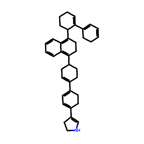 C1=CCCC(C2=CCCCC2C2=c3ccccc3=C(C3CC=C(C4=CC=C(C5=CNCC5)CC4)CC3)CC2)=C1